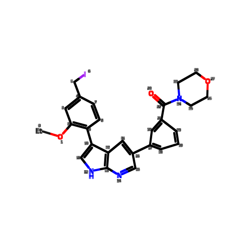 CCOc1cc(CI)ccc1-c1c[nH]c2ncc(-c3cccc(C(=O)N4CCOCC4)c3)cc12